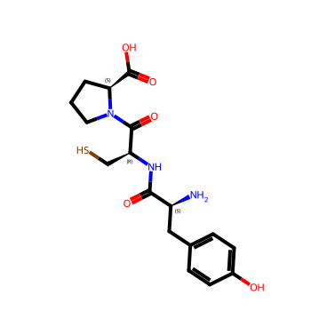 N[C@@H](Cc1ccc(O)cc1)C(=O)N[C@@H](CS)C(=O)N1CCC[C@H]1C(=O)O